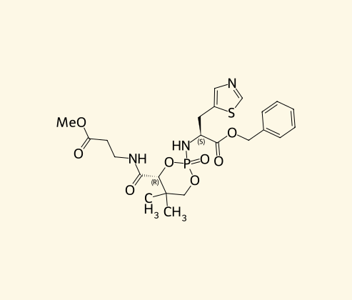 COC(=O)CCNC(=O)[C@@H]1OP(=O)(N[C@@H](Cc2cncs2)C(=O)OCc2ccccc2)OCC1(C)C